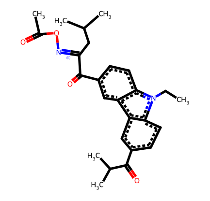 CCn1c2ccc(C(=O)/C(CC(C)C)=N/OC(C)=O)cc2c2cc(C(=O)C(C)C)ccc21